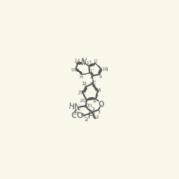 CC1(C)COc2cc(-c3cccc4ncccc34)ccc2C1NC(=O)O